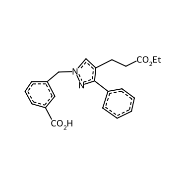 CCOC(=O)CCc1cn(Cc2cccc(C(=O)O)c2)nc1-c1ccccc1